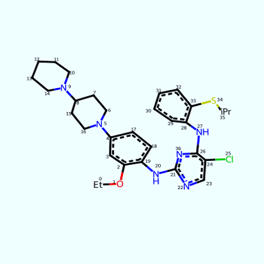 CCOc1cc(N2CCC(N3CCCCC3)CC2)ccc1Nc1ncc(Cl)c(Nc2ccccc2SC(C)C)n1